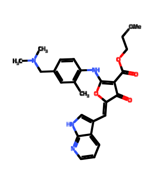 COCCOC(=O)C1=C(Nc2ccc(CN(C)C)cc2C)OC(=Cc2c[nH]c3ncccc23)C1=O